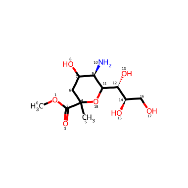 COC(=O)C1(C)CC(O)[C@@H](N)C([C@H](O)[C@H](O)CO)O1